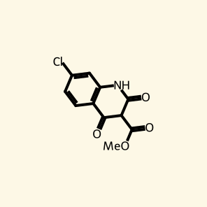 COC(=O)C1C(=O)Nc2cc(Cl)ccc2C1=O